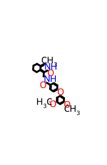 COc1cc(OC)cc(Oc2ccc(C(=O)NCc3c4c(c(C)[nH]c3=O)CCCC4)cc2)c1